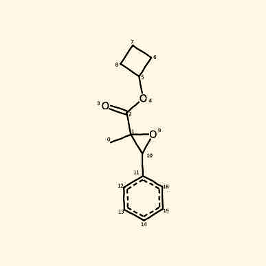 CC1(C(=O)OC2CCC2)OC1c1ccccc1